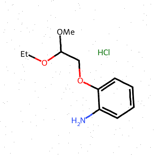 CCOC(COc1ccccc1N)OC.Cl